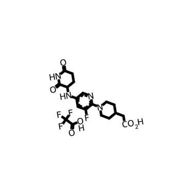 O=C(O)C(F)(F)F.O=C(O)CC1CCN(c2ncc(NC3CCC(=O)NC3=O)cc2F)CC1